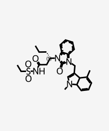 CCC[C@@H](CC(=O)NS(=O)(=O)CC)n1c(=O)n(CC2=CN(C)C3C=CC=C(C)C23)c2ccccc21